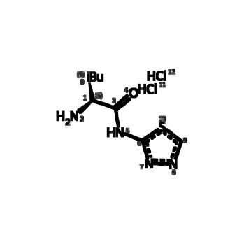 CC[C@H](C)[C@H](N)C(=O)Nc1nncs1.Cl.Cl